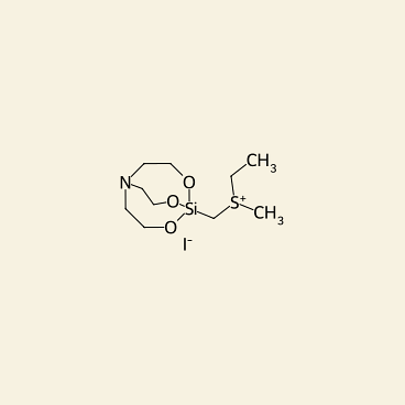 CC[S+](C)C[Si]12OCCN(CCO1)CCO2.[I-]